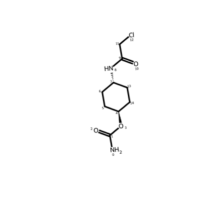 NC(=O)O[C@H]1CC[C@H](NC(=O)CCl)CC1